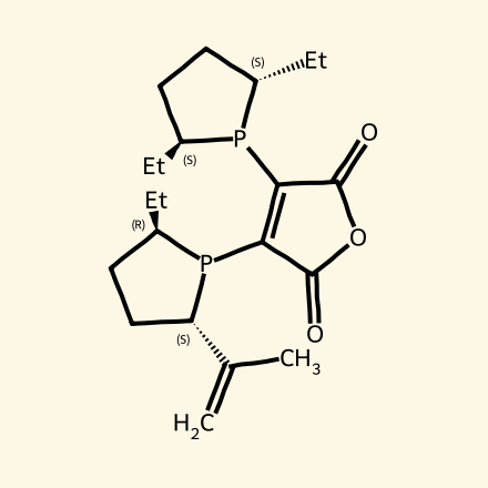 C=C(C)[C@@H]1CC[C@@H](CC)P1C1=C(P2[C@@H](CC)CC[C@@H]2CC)C(=O)OC1=O